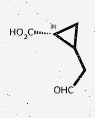 O=CCC1C[C@H]1C(=O)O